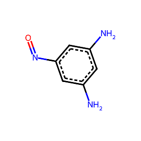 Nc1cc(N)cc(N=O)c1